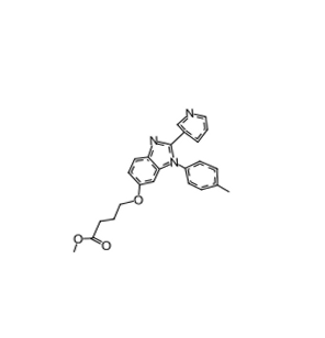 COC(=O)CCCOc1ccc2nc(-c3cccnc3)n(-c3ccc(C)cc3)c2c1